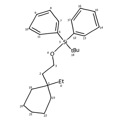 CCC1(CCO[Si](c2ccccc2)(c2ccccc2)C(C)(C)C)CCCCC1